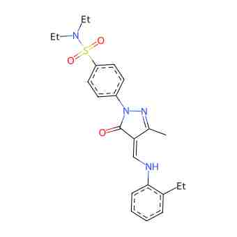 CCc1ccccc1NC=C1C(=O)N(c2ccc(S(=O)(=O)N(CC)CC)cc2)N=C1C